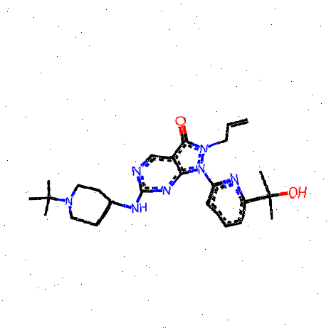 C=CCn1c(=O)c2cnc(NC3CCN(C(C)(C)C)CC3)nc2n1-c1cccc(C(C)(C)O)n1